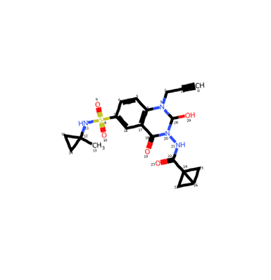 C#CCN1c2ccc(S(=O)(=O)NC3(C)CC3)cc2C(=O)N(NC(=O)C23CC2C3)C1O